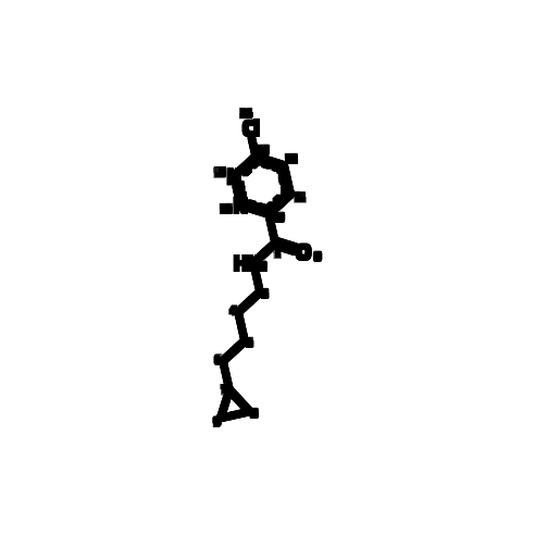 O=C(NCCCCC1CC1)c1ccc(Cl)nn1